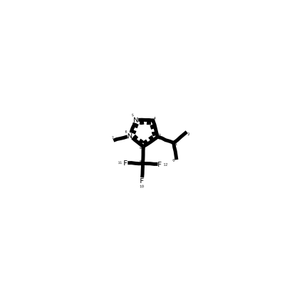 CC(C)c1cnn(C)c1C(F)(F)F